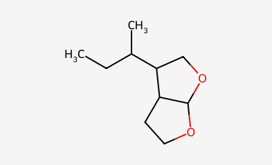 CCC(C)C1COC2OCCC21